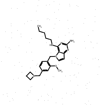 CCCCCNc1nc(N)nc2ccn(Cc3ccc(CN4C[CH]C4)cc3OC)c12